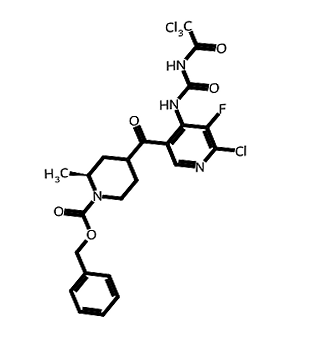 C[C@H]1CC(C(=O)c2cnc(Cl)c(F)c2NC(=O)NC(=O)C(Cl)(Cl)Cl)CCN1C(=O)OCc1ccccc1